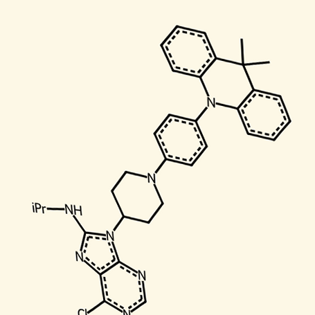 CC(C)Nc1nc2c(Cl)ncnc2n1C1CCN(c2ccc(N3c4ccccc4C(C)(C)c4ccccc43)cc2)CC1